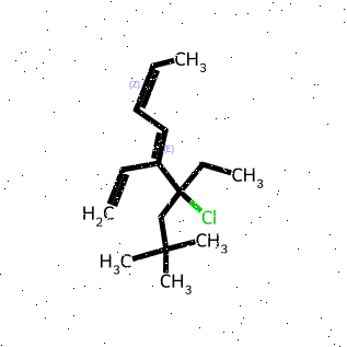 C=C/C(=C\C=C/C)C(Cl)(CC)CC(C)(C)C